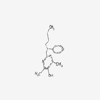 CCCCC(Cc1nc(C)c(O)c(C)n1)c1ccccc1